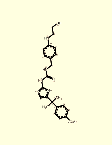 COc1ccc(C(C)(C)c2csc(NC(=O)NCc3ccc(NCCO)cc3)n2)cc1